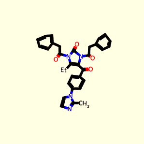 CCc1c(C(=O)c2ccc(-n3ccnc3C)cc2)n(C(=O)Cc2ccccc2)c(=O)n1C(=O)Cc1ccccc1